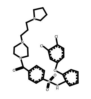 O=C(c1ccc(S(=O)(=O)Nc2ccccc2Oc2ccc(Cl)c(Cl)c2)cc1)N1CCN(CCCN2CCCC2)CC1